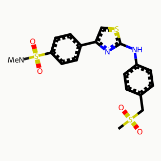 CNS(=O)(=O)c1ccc(-c2csc(Nc3ccc(CS(C)(=O)=O)cc3)n2)cc1